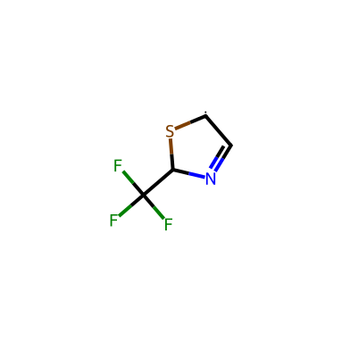 FC(F)(F)C1N=C[CH]S1